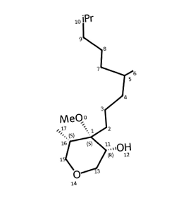 CO[C@]1(CCCC(C)CCCC(C)C)[C@H](O)COC[C@@H]1C